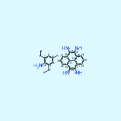 CCc1cc(C)cc(CC)c1N.N=c1c(=N)c2cccc3c2-c2c1cccc2c(=N)c3=N